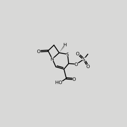 CS(=O)(=O)OC1S[C@@H]2CC(=O)N2C=C1C(=O)O